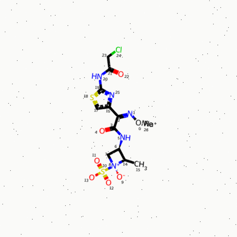 CON=C(C(=O)N[C@@H]1C[N@+]([O-])(S(=O)(=O)[O-])C1C)c1csc(NC(=O)CCl)n1.[Na+]